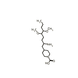 CCCC(OC)C(CC[CH]([InH2])CC1CCN(C(=O)O)CC1)OC